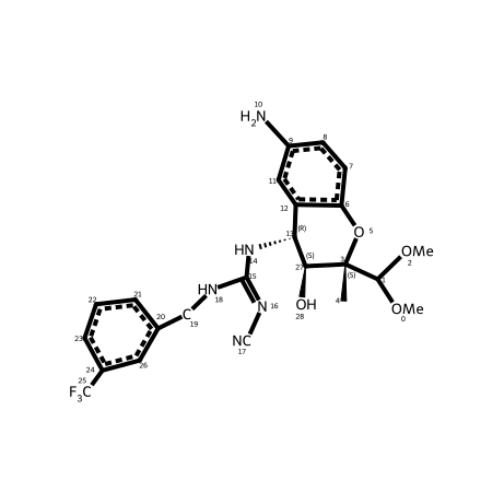 COC(OC)[C@@]1(C)Oc2ccc(N)cc2[C@@H](NC(=NC#N)NCc2cccc(C(F)(F)F)c2)[C@@H]1O